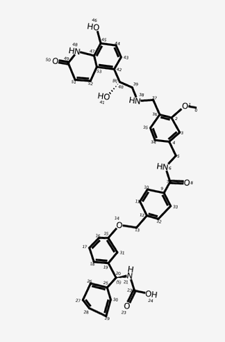 COc1cc(CNC(=O)c2ccc(COc3cccc([C@@H](NC(=O)O)c4ccccc4)c3)cc2)ccc1CNC[C@H](O)c1ccc(O)c2[nH]c(=O)ccc12